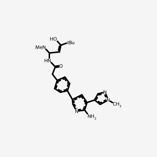 CNC(/C=C(\O)C(C)(C)C)NC(=O)Cc1ccc(-c2cnc(N)c(-c3cnn(C)c3)c2)cc1